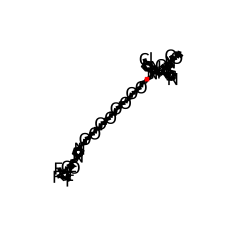 CC(C)(C)OC(=O)N1CC2(C1)C(=O)N(Cc1nc3cc(Cl)ccc3n1CCCCOCCOCCOCCOCCOCCOCCOCCOCCN1CCN(CCC(=O)Oc3c(F)c(F)cc(F)c3F)CC1)c1cnccc12